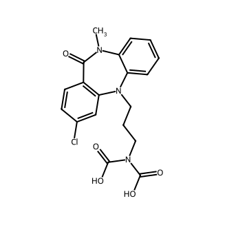 CN1C(=O)c2ccc(Cl)cc2N(CCCN(C(=O)O)C(=O)O)c2ccccc21